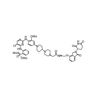 COc1cc(N2CCC(N3CCN(CC(=O)NCCSc4cccc5c4CN(C4CCC(=O)NC4=O)C5=O)CC3)CC2)ccc1Nc1ncc(Cl)c(Nc2ccccc2P(=O)(OC)OC)n1